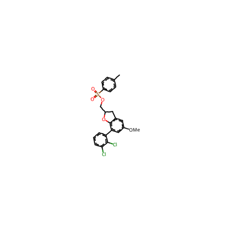 COc1cc2c(c(-c3cccc(Cl)c3Cl)c1)OC(COS(=O)(=O)c1ccc(C)cc1)C2